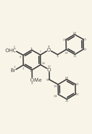 COc1c(Br)c(C=O)cc(OCc2ccccc2)c1OCc1ccccc1